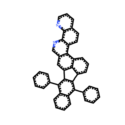 c1ccc(-c2c3c(c(-c4ccccc4)c4ccccc24)-c2cc4cnc5c(ccc6cccnc65)c4c4cccc-3c24)cc1